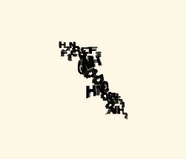 Nc1ccc(-c2ccc(NC(=O)c3ccc(-c4ccc(C(=O)Nc5ccc(-c6ccc(N)cc6C(F)(F)F)c(C(F)(F)F)c5)cc4)cc3)cc2C(F)(F)F)c(C(F)(F)F)c1